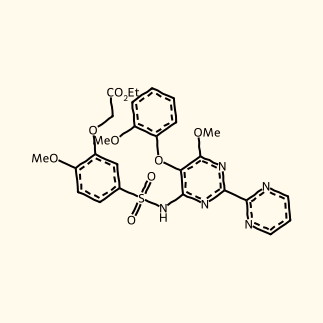 CCOC(=O)COc1cc(S(=O)(=O)Nc2nc(-c3ncccn3)nc(OC)c2Oc2ccccc2OC)ccc1OC